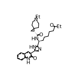 CCC(=O)CCCCC[C@H](NC(=O)[C@@H]1CC12CCN(CC)CC2)c1ncc(-c2cc3ccccc3[nH]c2=O)[nH]1